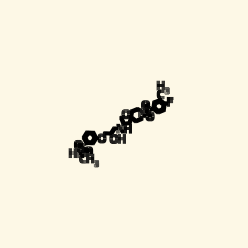 CNS(=O)(=O)c1cccc(OCC(O)CNC2COC3(CCN(S(=O)(=O)c4ccc(F)c(C)c4)CC3)C2)c1